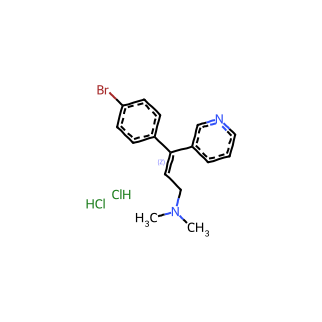 CN(C)C/C=C(/c1ccc(Br)cc1)c1cccnc1.Cl.Cl